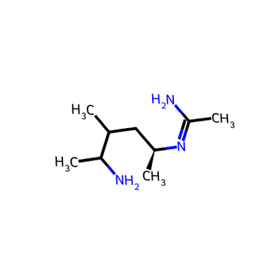 C/C(N)=N/[C@@H](C)CC(C)C(C)N